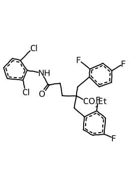 CCOC(=O)C(CCC(=O)Nc1c(Cl)cccc1Cl)(Cc1ccc(F)cc1F)Cc1ccc(F)cc1F